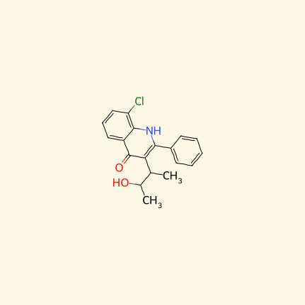 CC(O)C(C)c1c(-c2ccccc2)[nH]c2c(Cl)cccc2c1=O